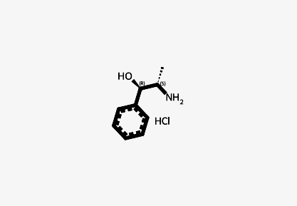 C[C@H](N)[C@H](O)c1ccccc1.Cl